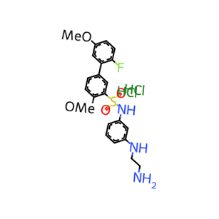 COc1ccc(F)c(-c2ccc(OC)c(S(=O)(=O)Nc3cccc(NCCN)c3)c2)c1.Cl.Cl